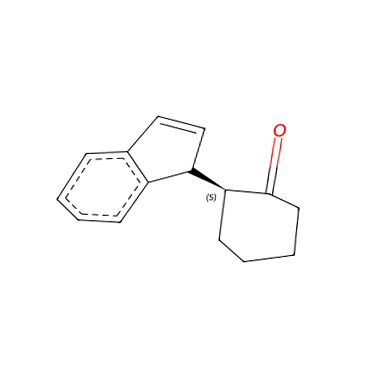 O=C1CCCC[C@H]1C1C=Cc2ccccc21